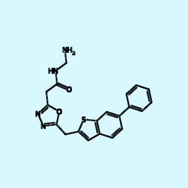 NCNC(=O)Cc1nnc(Cc2cc3ccc(-c4ccccc4)cc3s2)o1